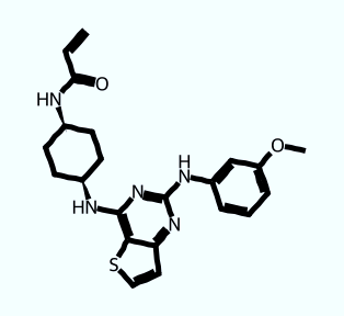 C=CC(=O)N[C@H]1CC[C@@H](Nc2nc(Nc3cccc(OC)c3)nc3ccsc23)CC1